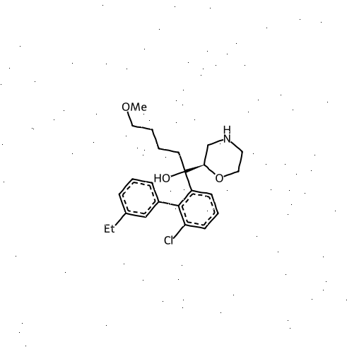 CCc1cccc(-c2c(Cl)cccc2C(O)(CCCCOC)[C@H]2CNCCO2)c1